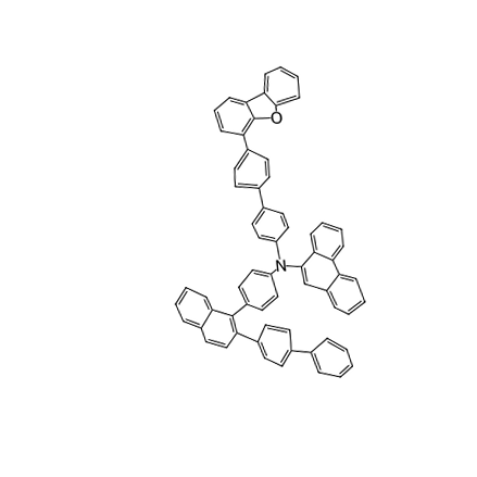 c1ccc(-c2ccc(-c3ccc4ccccc4c3-c3ccc(N(c4ccc(-c5ccc(-c6cccc7c6oc6ccccc67)cc5)cc4)c4cc5ccccc5c5ccccc45)cc3)cc2)cc1